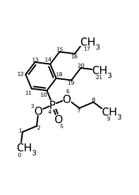 CCCOP(=O)(OCCC)c1cccc(CCC)c1CCC